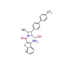 N#CC1C(c2ccc(-c3ccc(C(F)(F)F)cc3)cc2)C(CO)N1C(=O)c1sc2ncccc2c1N